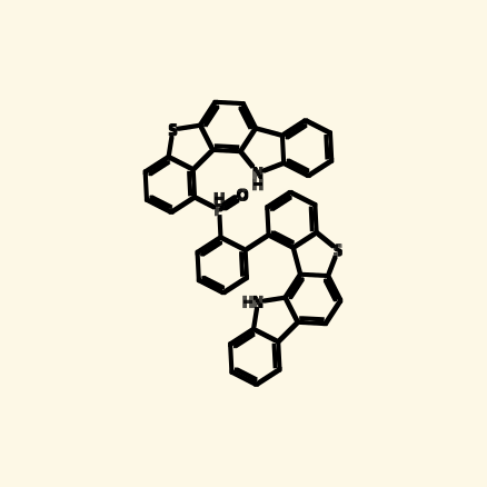 O=[PH](c1ccccc1-c1cccc2sc3ccc4c5ccccc5[nH]c4c3c12)c1cccc2sc3ccc4c5ccccc5[nH]c4c3c12